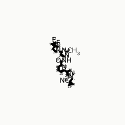 Cc1nc(NC(=O)c2cccc(-c3cnn(CC4(C#N)CC4)c3)n2)cc(N2CCC3(C2)CC3(F)F)n1